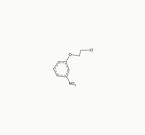 O=[N+]([O-])c1c[c]cc(OCCCl)c1